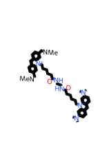 CNCc1ccc2cc3ccc(CNC)cc3[n+](CCCCCC(=O)NCCNC(=O)CCCCC[n+]3c4cc(N(C)C)ccc4cc4ccc(N(C)C)cc43)c2c1